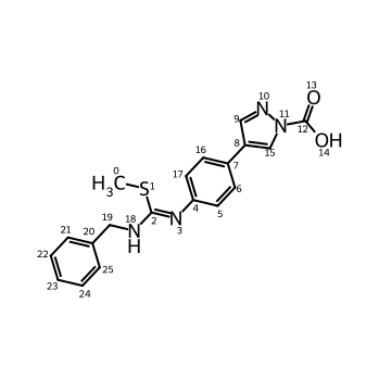 CSC(=Nc1ccc(-c2cnn(C(=O)O)c2)cc1)NCc1ccccc1